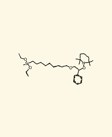 CCO[Si](C)(CCCCCCCCCOCC(ON1C(C)(C)CCCC1(C)C)c1ccccc1)OCC